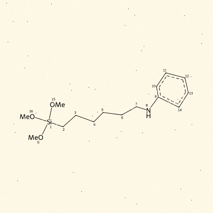 CO[Si](CCCCCCNc1ccccc1)(OC)OC